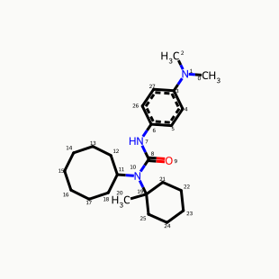 CN(C)c1ccc(NC(=O)N(C2CCCCCCC2)C2(C)CCCCC2)cc1